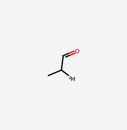 [2H]C(C)[C]=O